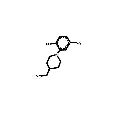 N#Cc1ccc(C(F)(F)F)cc1N1CCC(CC(=O)O)CC1